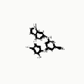 N#Cc1cc(Oc2cc(F)c(F)cc2F)cc(Nc2ccc3cc[nH]c3c2)n1